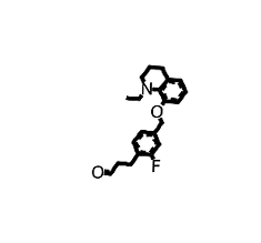 CCN1CCCc2cccc(OCc3ccc(CCC=O)c(F)c3)c21